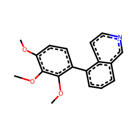 COc1ccc(-c2cccc3cnccc23)c(OC)c1OC